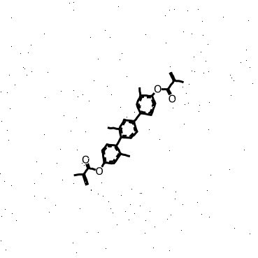 C=C(C)C(=O)Oc1ccc(-c2ccc(-c3ccc(OC(=O)C(=C)C)c(C)c3)cc2C)c(C)c1